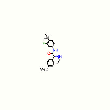 COc1ccc2c(c1)CCNC2C(=O)Nc1ccc([Si](C)(C)C)c(F)c1